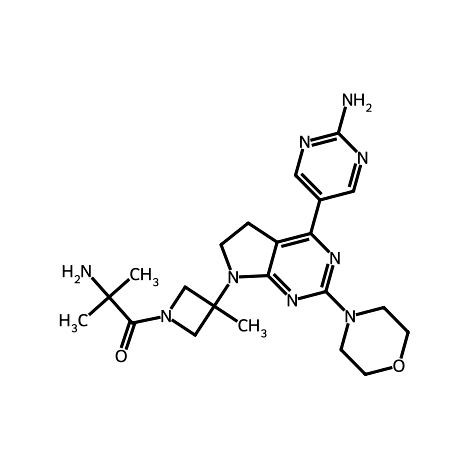 CC(C)(N)C(=O)N1CC(C)(N2CCc3c(-c4cnc(N)nc4)nc(N4CCOCC4)nc32)C1